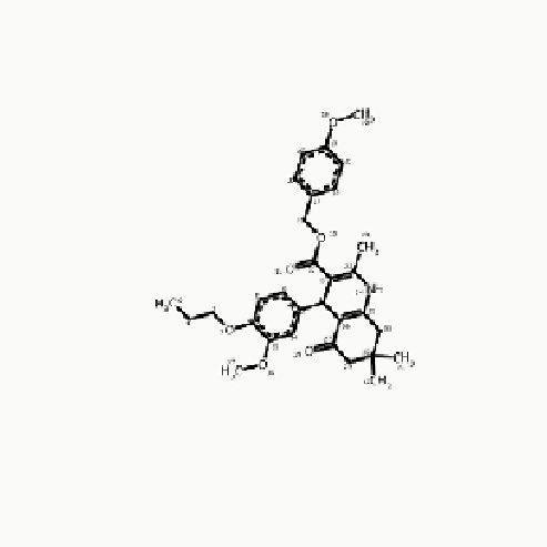 CCCOc1ccc(C2C(C(=O)OCc3ccc(OC)cc3)=C(C)NC3=C2C(=O)CC(C)(C)C3)cc1OC